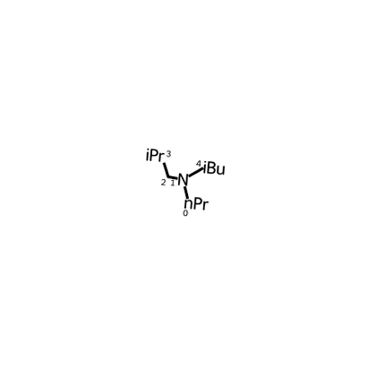 CCCN(CC(C)C)C(C)CC